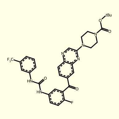 CC(C)(C)OC(=O)N1CCN(c2cnc3ccc(C(=O)c4cc(NC(=O)Nc5cccc(C(F)(F)F)c5)ccc4F)cc3n2)CC1